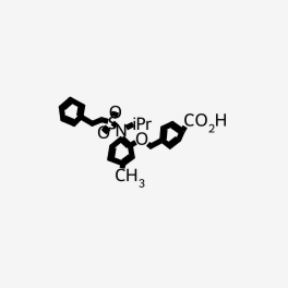 Cc1ccc(N(C(C)C)S(=O)(=O)CCc2ccccc2)c(OCc2ccc(C(=O)O)cc2)c1